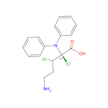 NCCC(Cl)[C@@](Cl)(C(=O)O)N(c1ccccc1)c1ccccc1